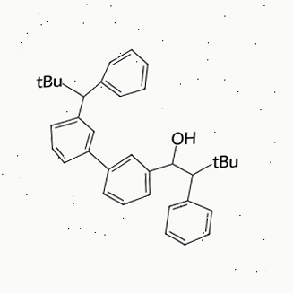 CC(C)(C)C(c1ccccc1)c1cccc(-c2cccc(C(O)C(c3ccccc3)C(C)(C)C)c2)c1